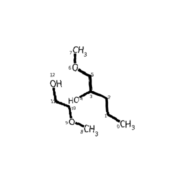 CCCC(O)COC.COCCO